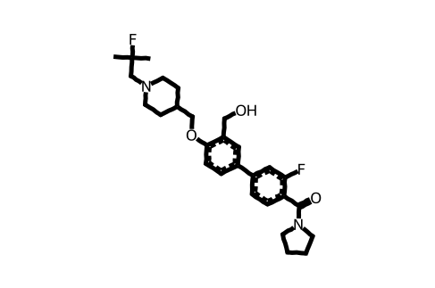 CC(C)(F)CN1CCC(COc2ccc(-c3ccc(C(=O)N4CCCC4)c(F)c3)cc2CO)CC1